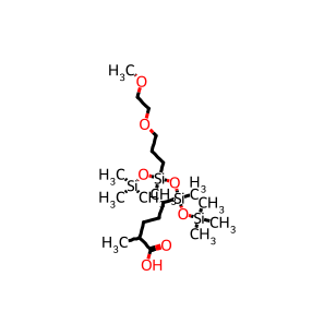 COCCOCCC[Si](C)(O[Si](C)(C)C)O[Si](C)(CCCC(C)C(=O)O)O[Si](C)(C)C